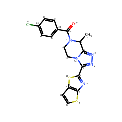 CC1c2nnc(-c3nc4sccc4s3)n2CCN1C(=O)c1ccc(Cl)cc1